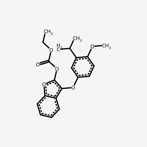 CCOC(=O)Oc1oc2ccccc2c1Oc1ccc(OC)c(C(C)C)c1